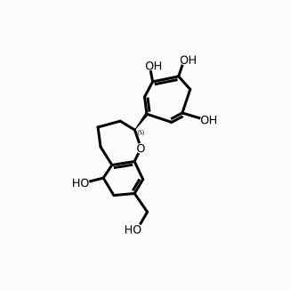 OCC1=CC2=C(CCC[C@@H](C3=CC(O)=C(O)CC(O)=C3)O2)C(O)C1